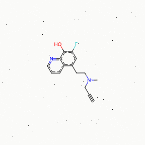 C#CCN(C)CCc1cc(F)c(O)c2ncccc12